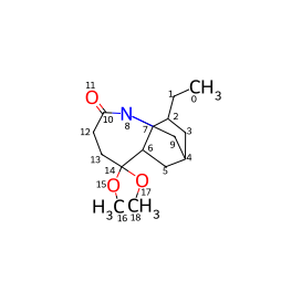 CCC1CC2CC3C1N(C2)C(=O)CCC3(OC)OC